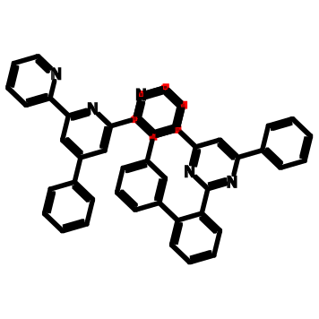 c1ccc(-c2cc(-c3ccccn3)nc(-c3ncccc3-c3cccc(-c4ccccc4-c4nc(-c5ccccc5)cc(-c5ccccc5)n4)c3)c2)cc1